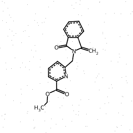 C=C1c2ccccc2C(=O)N1Cc1cccc(C(=O)OCC)n1